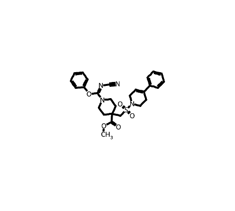 COC(=O)C1(CS(=O)(=O)N2CC=C(c3ccccc3)CC2)CCN(/C(=N\C#N)Oc2ccccc2)CC1